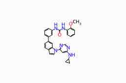 COc1ccccc1NC(=O)Nc1cccc(-c2ccc3ccn(-c4cc(NC5CC5)ncn4)c3c2)c1